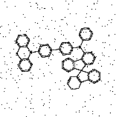 C1=CC2=C(CC1)c1ccccc1C21c2ccccc2-c2c(N(c3ccccc3)c3ccc(-c4ccc(N5c6ccccc6Sc6ccccc65)cc4)cc3)cccc21